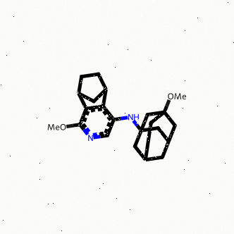 COc1ncc(NC23CC4CC(C2)CC(OC)(C4)C3)c2c1C1CCC2C1